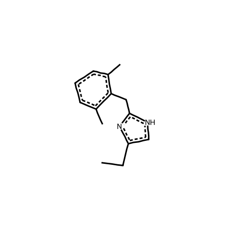 CCc1c[nH]c(Cc2c(C)cccc2C)n1